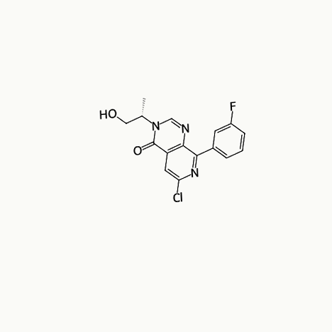 C[C@@H](CO)n1cnc2c(-c3cccc(F)c3)nc(Cl)cc2c1=O